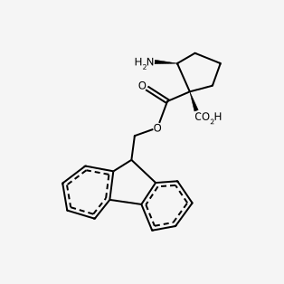 N[C@H]1CCC[C@]1(C(=O)O)C(=O)OCC1c2ccccc2-c2ccccc21